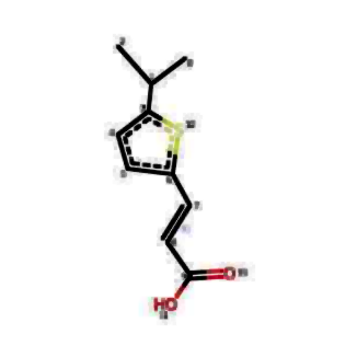 CC(C)c1ccc(/C=C/C(=O)O)s1